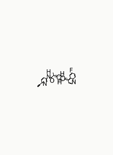 C#Cc1ccc(NC(=O)C(C)[C@H]2C[C@H]3C[C@@H](c4ccnc5ccc(F)cc45)C[C@H]3C2)cn1